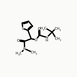 CN(C)C(=O)C(OC(=O)NC(C)(C)C)c1cccs1